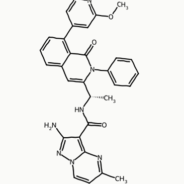 COc1cc(-c2cccc3cc([C@H](C)NC(=O)c4c(N)nn5ccc(C)nc45)n(-c4ccccc4)c(=O)c23)ccn1